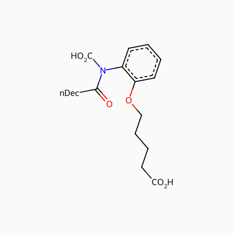 CCCCCCCCCCC(=O)N(C(=O)O)c1ccccc1OCCCCC(=O)O